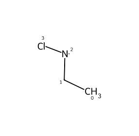 CC[N]Cl